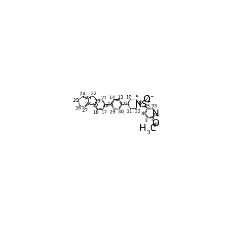 COc1ccc([S+]([O-])N2CCC(c3ccc(-c4ccc5c(c4)CC4=CCCC=C45)cc3)CC2)cn1